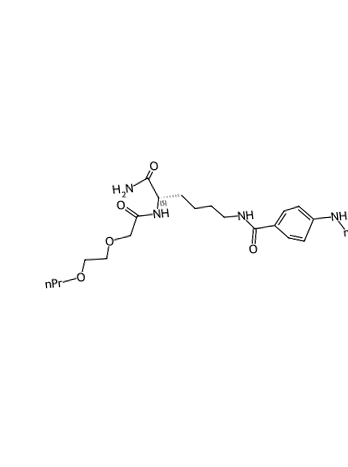 CCCNc1ccc(C(=O)NCCCC[C@H](NC(=O)COCCOCCC)C(N)=O)cc1